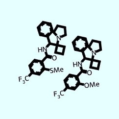 COc1cc(C(F)(F)F)ccc1C(=O)NC(c1ccccc1)C1(N2CCCC2)CCC1.CSc1cc(C(F)(F)F)ccc1C(=O)NC(c1ccccc1)C1(N2CCCC2)CCC1